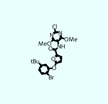 COc1nc(Cl)nc(OC)c1NC(=O)c1ccc(Oc2cc(C(C)(C)C)ccc2Br)o1